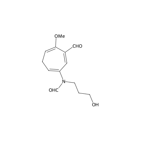 COC1=CCC=C(N(C=O)CCCO)C=C1C=O